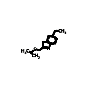 C=C(C)SCC1=Nc2ccc(CC)cc2C1